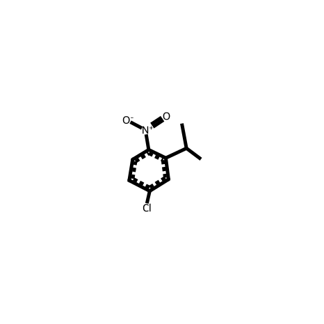 CC(C)c1cc(Cl)ccc1[N+](=O)[O-]